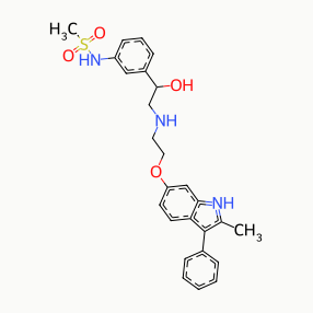 Cc1[nH]c2cc(OCCNCC(O)c3cccc(NS(C)(=O)=O)c3)ccc2c1-c1ccccc1